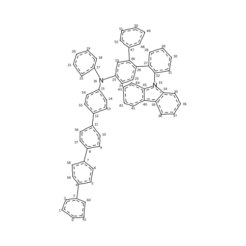 c1ccc(-c2ccc(-c3ccc(-c4ccc(N(c5ccccc5)c5ccc(-c6ccccc6-n6c7ccccc7c7ccccc76)c(-c6ccccc6)c5)cc4)cc3)cc2)cc1